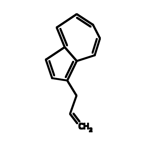 C=CCc1ccc2cccccc1-2